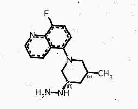 C[C@H]1C[C@@H](NN)CN(c2ccc(F)c3ncccc23)C1